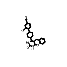 N#Cc1ccc(C2=CCC(c3[nH]c(=O)[nH]c(=O)c3Cc3ccccc3)CC2)c(Cl)c1